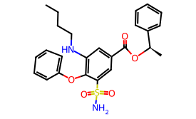 CCCCNc1cc(C(=O)O[C@H](C)c2ccccc2)cc(S(N)(=O)=O)c1Oc1ccccc1